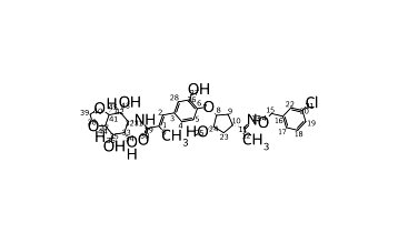 CC(=Cc1ccc(O[C@@H]2C[C@H](C(C)=NOCc3cccc(Cl)c3)C[C@@H]2O)c(O)c1)C(=O)N[C@@H]1[C@H](O)[C@@H](O)[C@H]2OCO[C@H]2[C@@H]1O